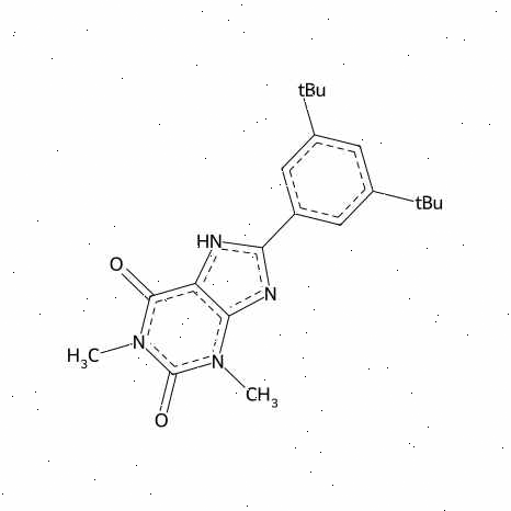 Cn1c(=O)c2[nH]c(-c3cc(C(C)(C)C)cc(C(C)(C)C)c3)nc2n(C)c1=O